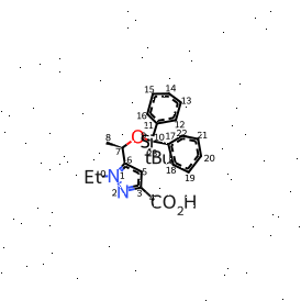 CCn1nc(C(=O)O)cc1[C@@H](C)O[Si](c1ccccc1)(c1ccccc1)C(C)(C)C